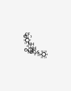 NC(=O)[C@@H](CNc1ccc(OC(F)(F)F)cc1)NC(=O)[CH]CSCc1ccccc1